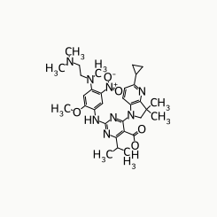 COc1cc(N(C)CCN(C)C)c([N+](=O)[O-])cc1Nc1nc(C(C)C)c(C(=O)O)c(N2CC(C)(C)c3nc(C4CC4)ccc32)n1